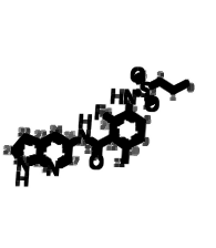 CCCS(=O)(=O)Nc1ccc(C)c(C(=O)Nc2cnc3[nH]ccc3c2)c1F